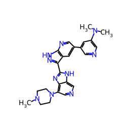 CN1CCN(c2cncc3[nH]c(-c4n[nH]c5ncc(-c6cncc(N(C)C)c6)cc45)nc23)CC1